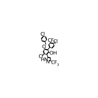 Oc1c(-c2cc(C(F)(F)F)n[nH]2)c(Cl)cc(OCc2ccc(Cl)cc2)c1-c1ccc(Cl)c(C(F)(F)F)c1